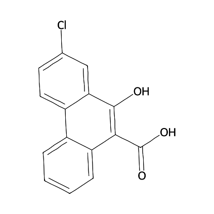 O=C(O)c1c(O)c2cc(Cl)ccc2c2ccccc12